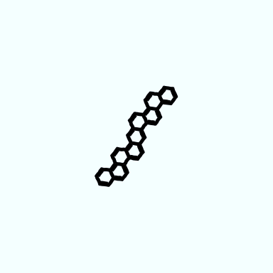 c1ccc2c(c1)ccc1c2ccc2c3cc4ccc5c(ccc6c7ccccc7ccc65)c4cc3ccc21